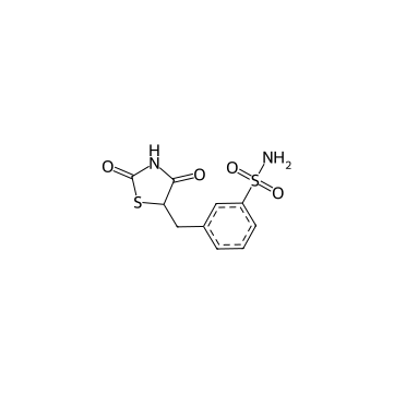 NS(=O)(=O)c1cccc(CC2SC(=O)NC2=O)c1